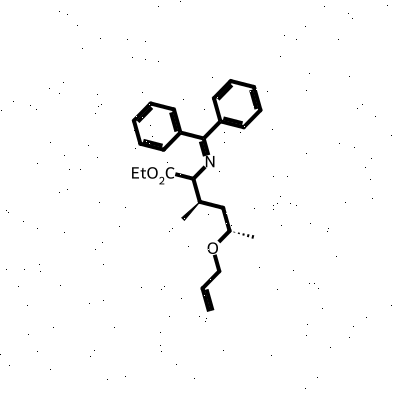 C=CCO[C@@H](C)C[C@@H](C)C(N=C(c1ccccc1)c1ccccc1)C(=O)OCC